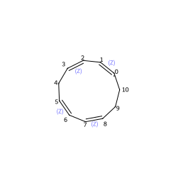 [C]1=C\C=C/C/C=C\C=C/CC/1